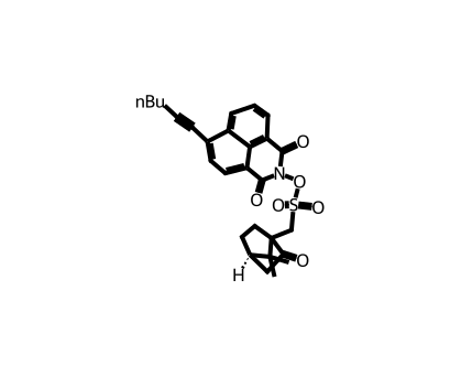 CCCCC#Cc1ccc2c3c(cccc13)C(=O)N(OS(=O)(=O)CC13CC[C@H](CC1=O)C3(C)C)C2=O